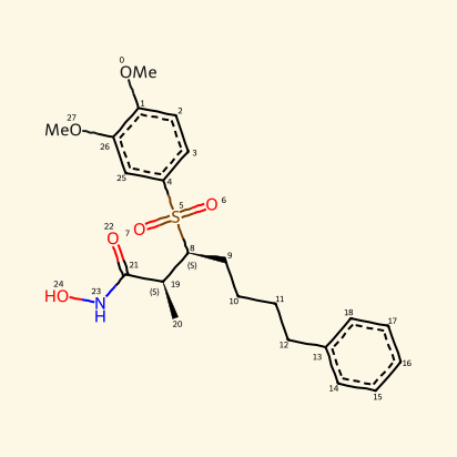 COc1ccc(S(=O)(=O)[C@@H](CCCCc2ccccc2)[C@@H](C)C(=O)NO)cc1OC